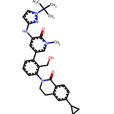 Cn1cc(-c2cccc(N3CCc4cc(C5CC5)ccc4C3=O)c2CO)cc(Nc2ccn(C(C)(C)C)n2)c1=O